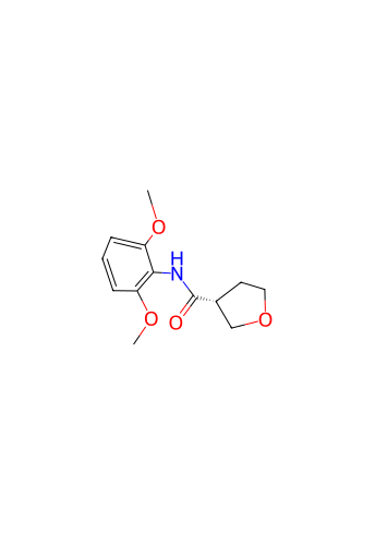 COc1cccc(OC)c1NC(=O)[C@@H]1CCOC1